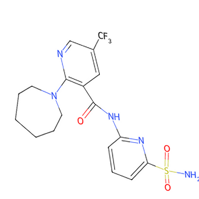 NS(=O)(=O)c1cccc(NC(=O)c2cc(C(F)(F)F)cnc2N2CCCCCC2)n1